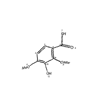 COc1ccc(C(=O)S)c(OC)c1O